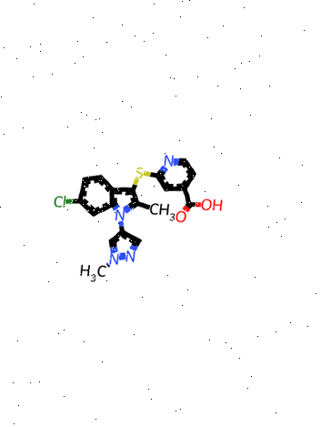 Cc1c(Sc2cc(C(=O)O)ccn2)c2ccc(Cl)cc2n1-c1cnn(C)c1